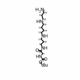 CC(C)(C)OC(=O)NCC(=O)NCCCNCCCCNCCCN